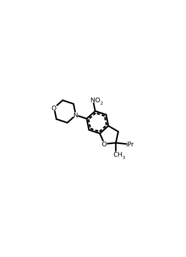 CC(C)C1(C)Cc2cc([N+](=O)[O-])c(N3CCOCC3)cc2O1